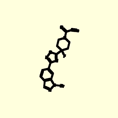 COC(=O)N1CCC(F)(c2nc(-c3ccc4cnn(C(C)C)c4c3)no2)CC1